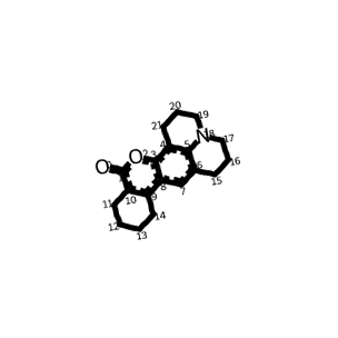 O=c1oc2c3c4c(cc2c2c1CCCC2)CCCN4CCC3